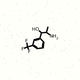 CC(N)C(O)c1cccc(C(F)(F)F)c1